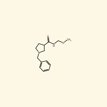 COCNC(=O)C1CCN(Cc2ccccc2)C1